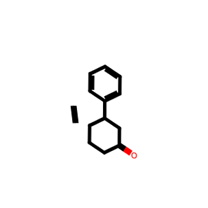 C=C.O=C1CCCC(c2ccccc2)C1